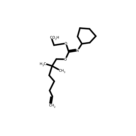 C=CCCCC(C)(C)COC(=NC1CCCCC1)OCC(=O)O